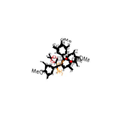 COc1c(C)cc(C(P)(c2cc(C)c(OC)c(C)c2)[C@H]2OC(C)(C)O[C@@H]2C(P)(c2cc(C)c(OC)c(C)c2)c2cc(C)c(OC)c(C)c2)cc1C